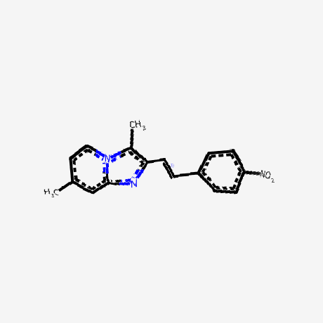 Cc1ccn2c(C)c(/C=C/c3ccc([N+](=O)[O-])cc3)nc2c1